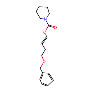 O=C(OC=CCCOCc1ccccc1)N1CCCCC1